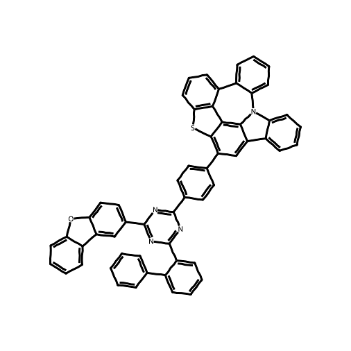 c1ccc(-c2ccccc2-c2nc(-c3ccc(-c4cc5c6ccccc6n6c7ccccc7c7cccc8sc4c(c87)c56)cc3)nc(-c3ccc4oc5ccccc5c4c3)n2)cc1